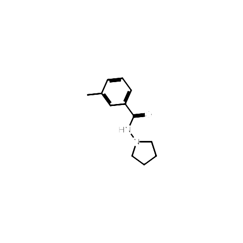 Cc1cccc(C(=O)NN2CCCC2)c1